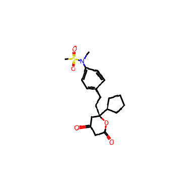 CN(c1ccc(CCC2(C3CCCC3)CC(=O)CC(=O)O2)cc1)S(C)(=O)=O